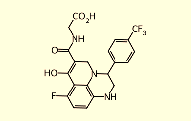 O=C(O)CNC(=O)C1=C(O)c2c(F)ccc3c2N(C1)C(c1ccc(C(F)(F)F)cc1)CN3